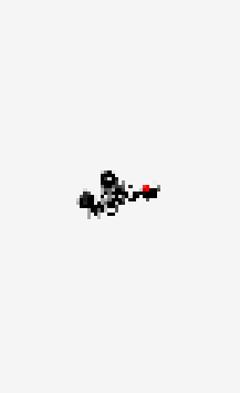 CC12CC(c3cn4cc(C(=O)Nc5cnc6cccnn56)c(OC5CCCC5)nc4n3)(CO1)C2